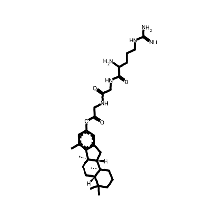 Cc1cc(OC(=O)CNC(=O)CNC(=O)C(N)CCCNC(=N)N)cc2c1[C@]1(C)CC[C@H]3C(C)(C)CCC[C@]3(C)[C@H]1C2